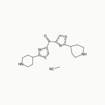 CC#N.O=C(c1csc(C2CCNCC2)n1)c1csc(C2CCNCC2)n1